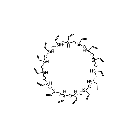 C=C[SiH]1O[SiH](C=C)O[SiH](C=C)O[SiH](C=C)O[SiH](C=C)O[SiH](C=C)O[SiH](C=C)O[SiH](C=C)O[SiH](C=C)O[SiH](C=C)O[SiH](C=C)O[SiH](C=C)O[SiH](C=C)O[SiH](C=C)O[SiH](C=C)O1